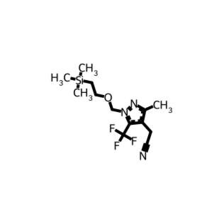 Cc1nn(COCC[Si](C)(C)C)c(C(F)(F)F)c1CC#N